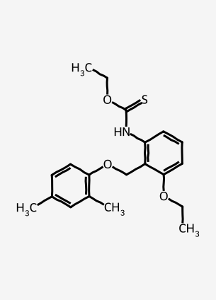 CCOC(=S)Nc1cccc(OCC)c1COc1ccc(C)cc1C